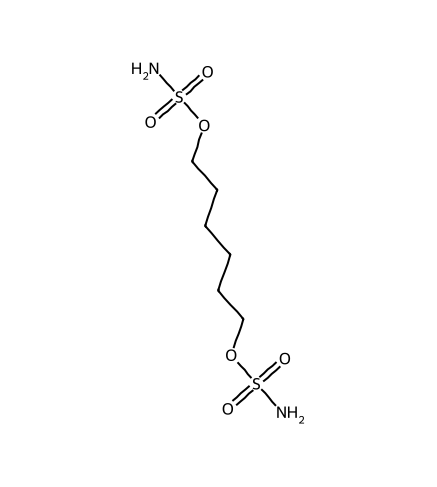 NS(=O)(=O)OCCCCCCOS(N)(=O)=O